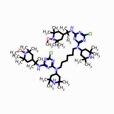 CON1C(C)(C)CC(C(C)(C)Nc2nc(Cl)nc(N(CCCCCCN(c3nc(Cl)nc(NC(C)(C)C4CC(C)(C)N(OC)C(C)(C)C4)n3)C3CC(C)(C)NC(C)(C)C3)C3CC(C)(C)NC(C)(C)C3)n2)CC1(C)C